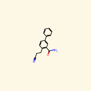 N#C[CH]Cc1ccc(-c2ccccc2)cc1C(N)=O